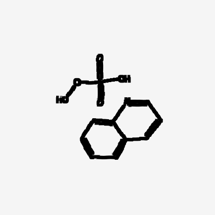 O=S(=O)(O)OO.c1ccc2ncccc2c1